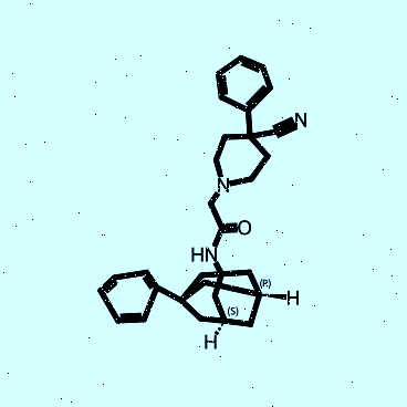 N#CC1(c2ccccc2)CCN(CC(=O)NC23C[C@H]4C[C@@H](C2)CC(c2ccccc2)(C4)C3)CC1